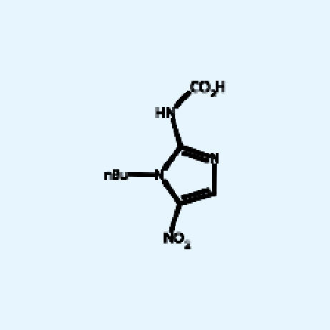 CCCCn1c([N+](=O)[O-])cnc1NC(=O)O